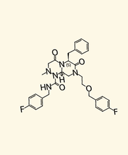 CN1CC(=O)N2[C@@H](Cc3ccccc3)C(=O)N(CCOCc3ccc(F)cc3)C[C@@H]2N1C(=O)NCc1ccc(F)cc1